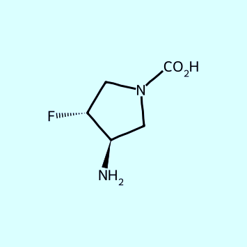 N[C@@H]1CN(C(=O)O)C[C@H]1F